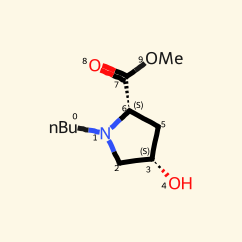 CCCCN1C[C@@H](O)C[C@H]1C(=O)OC